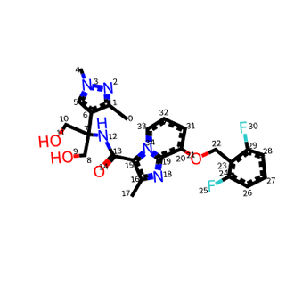 Cc1nn(C)cc1C(CO)(CO)NC(=O)c1c(C)nc2c(OCc3c(F)cccc3F)cccn12